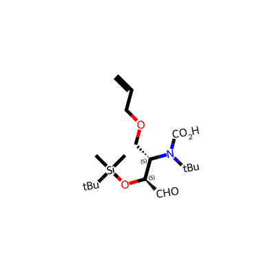 C=CCOC[C@@H]([C@@H](C=O)O[Si](C)(C)C(C)(C)C)N(C(=O)O)C(C)(C)C